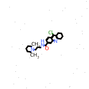 CC1CCCC(C)N1CCCNC(=O)c1ccc2c(Cl)c3c(nc2c1)CCCC3